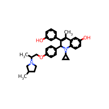 CC1=C(c2cccc(O)c2)C(c2ccc(OCC(C)N3CCC(C)C3)cc2)N(C2CC2)c2ccc(O)cc21